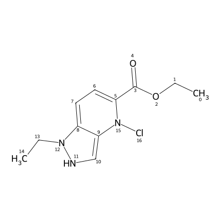 CCOC(=O)C1=CC=C2C(=CNN2CC)N1Cl